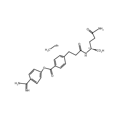 CCCC.N=C(N)c1ccc(OC(=O)c2ccc(CCC(=O)N[C@@H](CCC(N)=O)C(=O)O)cc2)cc1